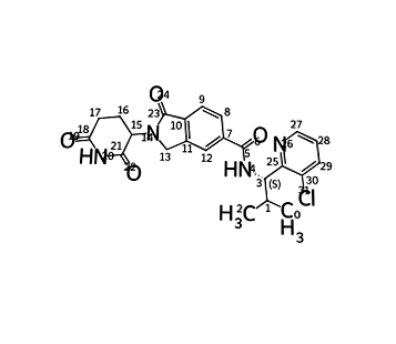 CC(C)[C@H](NC(=O)c1ccc2c(c1)CN(C1CCC(=O)NC1=O)C2=O)c1ncccc1Cl